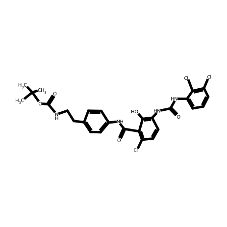 CC(C)(C)OC(=O)NCCc1ccc(NC(=O)c2c(Cl)ccc(NC(=O)Nc3cccc(Cl)c3Cl)c2O)cc1